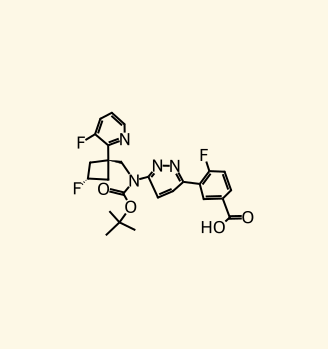 CC(C)(C)OC(=O)N(C[C@]1(c2ncccc2F)C[C@@H](F)C1)c1ccc(-c2cc(C(=O)O)ccc2F)nn1